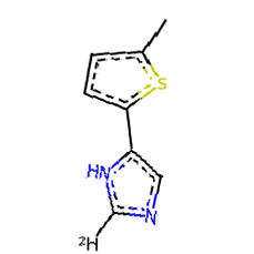 [2H]c1ncc(-c2ccc(C)s2)[nH]1